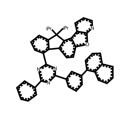 CC(C)C1(C(C)C)c2cccc(-c3nc(-c4ccccc4)nc(-c4cccc(-c5cccc6ccccc56)c4)n3)c2-c2ccc3oc4ncccc4c3c21